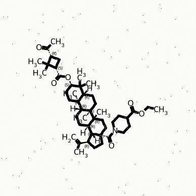 C=C(C)[C@@H]1CC[C@]2(C(=O)N3CCC(C(=O)OCC)CC3)CC[C@]3(C)[C@H](CC[C@@H]4[C@@]5(C)CC[C@H](OC(=O)[C@H]6C[C@@H](C(C)=O)C6(C)C)C(C)(C)[C@@H]5CC[C@]43C)[C@@H]12